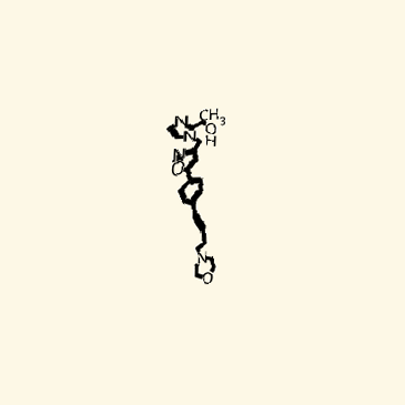 CC(O)c1nccn1Cc1cc(-c2ccc(C#CCCN3CCOCC3)cc2)on1